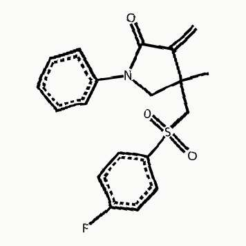 C=C1C(=O)N(c2ccccc2)CC1(C)CS(=O)(=O)c1ccc(F)cc1